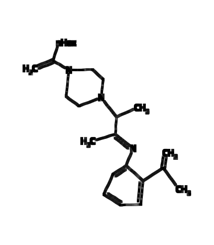 C=C(C)c1ccccc1/N=C(\C)C(C)N1CCN(C(=C)CCCCCC)CC1